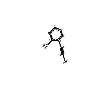 Cc1ccccc1C#CS